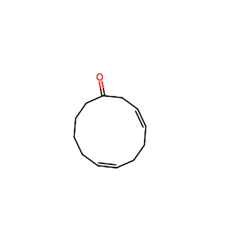 O=C1CC=CCCC=CCCCC1